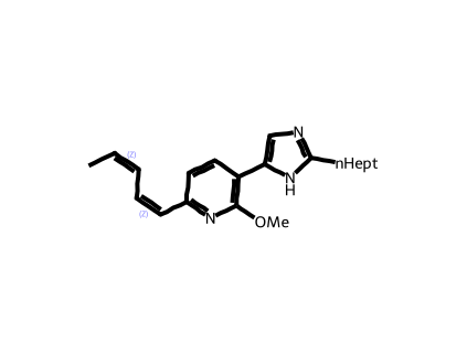 C/C=C\C=C/c1ccc(-c2cnc(CCCCCCC)[nH]2)c(OC)n1